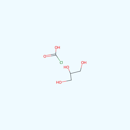 O=C(O)Cl.OCC(O)CO